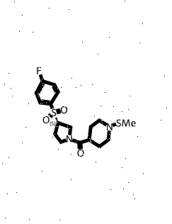 CSN1CCC(C(=O)N2CC[C@H](S(=O)(=O)c3ccc(F)cc3)C2)CC1